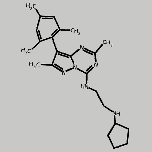 Cc1cc(C)c(-c2c(C)nn3c(NCCNC4CCCC4)nc(C)nc23)c(C)c1